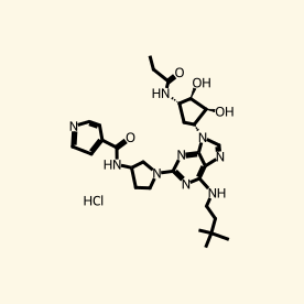 CCC(=O)N[C@H]1C[C@@H](n2cnc3c(NCCC(C)(C)C)nc(N4CCC(NC(=O)c5ccncc5)C4)nc32)[C@H](O)[C@@H]1O.Cl